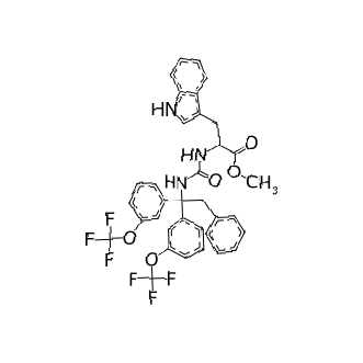 COC(=O)C(Cc1c[nH]c2ccccc12)NC(=O)NC(Cc1ccccc1)(c1cccc(OC(F)(F)F)c1)c1cccc(OC(F)(F)F)c1